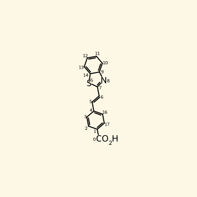 O=C(O)c1ccc(/C=C/c2nc3ccccc3s2)cc1